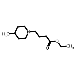 CCOC(=O)CCCN1CCC(C)CC1